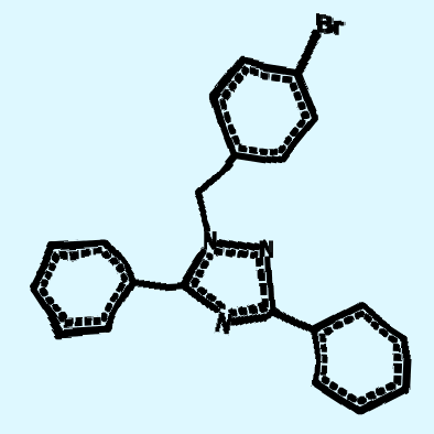 Brc1ccc(Cn2nc(-c3ccccc3)nc2-c2ccccc2)cc1